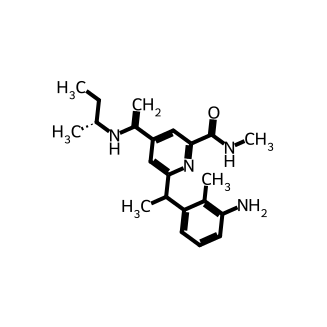 C=C(N[C@H](C)CC)c1cc(C(=O)NC)nc(C(C)c2cccc(N)c2C)c1